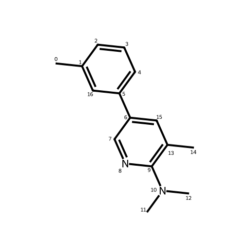 Cc1cccc(-c2cnc(N(C)C)c(C)c2)c1